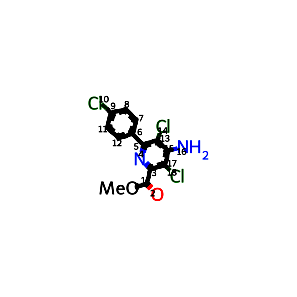 COC(=O)c1nc(-c2ccc(Cl)cc2)c(Cl)c(N)c1Cl